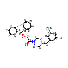 Cc1cc(CN2CCN(C(=O)COC(c3ccccc3)c3ccccc3)CC2)cc(Cl)n1